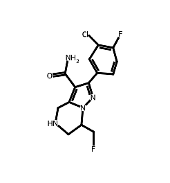 NC(=O)c1c(-c2ccc(F)c(Cl)c2)nn2c1CNCC2CF